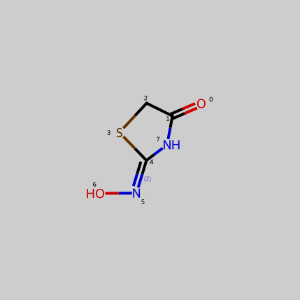 O=C1CS/C(=N\O)N1